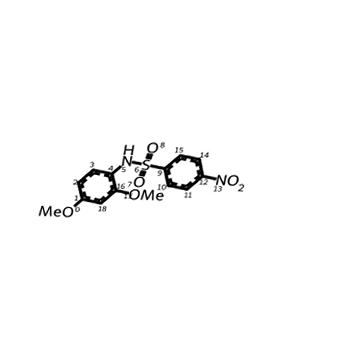 COc1ccc(NS(=O)(=O)c2ccc([N+](=O)[O-])cc2)c(OC)c1